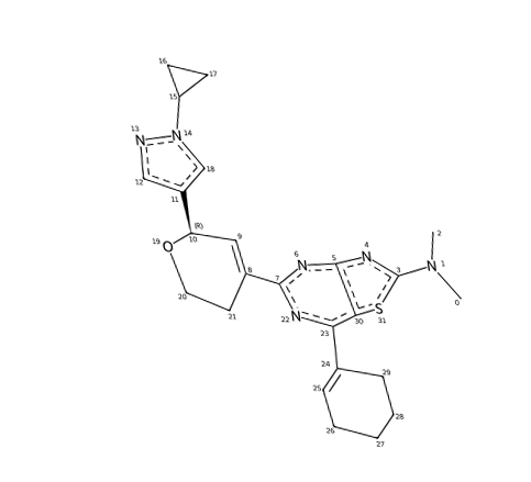 CN(C)c1nc2nc(C3=C[C@H](c4cnn(C5CC5)c4)OCC3)nc(C3=CCCCC3)c2s1